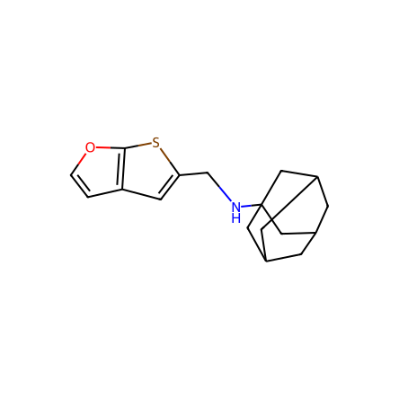 c1cc2cc(CNC34CC5CC(CC(C5)C3)C4)sc2o1